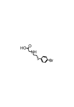 O=C(O)CNCCSc1ccc(Br)cc1